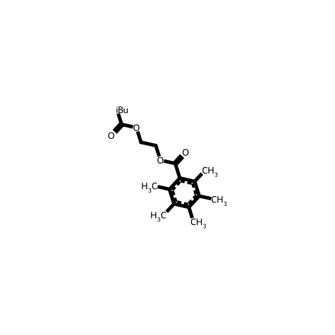 CCC(C)C(=O)OCCOC(=O)c1c(C)c(C)c(C)c(C)c1C